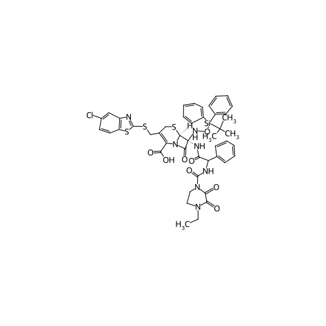 CCN1CCN(C(=O)NC(C(=O)N[C@]2(NO[Si](c3ccccc3)(c3ccccc3)C(C)(C)C)C(=O)N3C(C(=O)O)=C(CSc4nc5cc(Cl)ccc5s4)CS[C@H]32)c2ccccc2)C(=O)C1=O